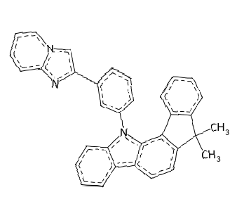 CC1(C)c2ccccc2-c2c1ccc1c3ccccc3n(-c3cccc(-c4cn5ccccc5n4)c3)c21